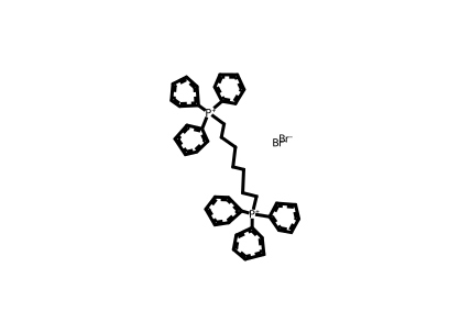 [Br-].[Br-].c1ccc([P+](CCCCCCC[P+](c2ccccc2)(c2ccccc2)c2ccccc2)(c2ccccc2)c2ccccc2)cc1